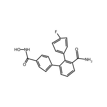 NC(=O)c1cccc(-c2ccc(C(=O)NO)cc2)c1-c1ccc(F)cc1